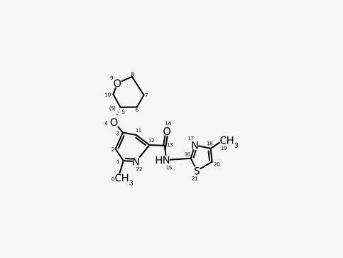 Cc1cc(O[C@H]2CCCOC2)cc(C(=O)Nc2nc(C)cs2)n1